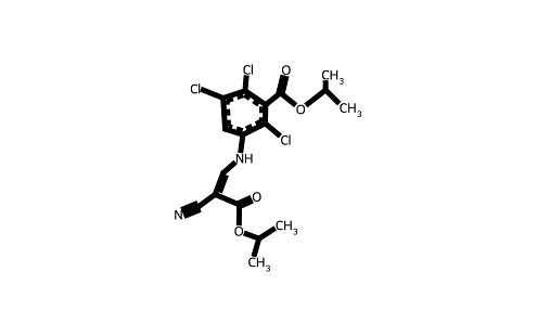 CC(C)OC(=O)C(C#N)=CNc1cc(Cl)c(Cl)c(C(=O)OC(C)C)c1Cl